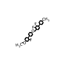 CCOc1ccc(-c2ccc(OCc3ccc(-c4ccc(C)cc4)c(F)c3F)cc2)c(F)c1